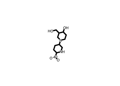 O=[N+]([O-])C1CCC(N2CCC(O)C(CO)C2)CN1